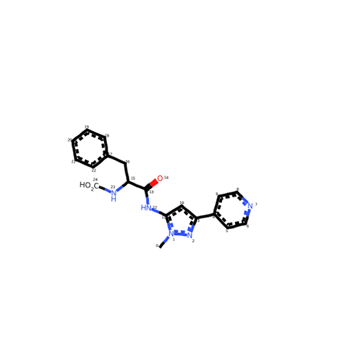 Cn1nc(-c2ccncc2)cc1NC(=O)C(Cc1ccccc1)NC(=O)O